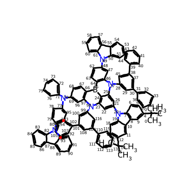 CC(C)(C)c1ccc2c(c1)c1cc(C(C)(C)C)ccc1n2-c1cc2c3c(c1)N(c1cc(-c4ccccc4)cc(-c4ccccc4)c1)c1cc(-n4c5ccccc5c5ccccc54)ccc1B3c1ccc(N(c3ccccc3)c3ccc(-n4c5ccccc5c5ccccc54)cc3)cc1N2c1cc(-c2ccccc2)cc(-c2ccccc2)c1